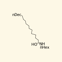 CCCCCCCCCCCCCCCCCCCCCC(O)NCCCCCC